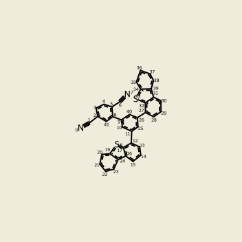 N#Cc1ccc(C#N)c(-c2cc(-c3cccc4c3sc3ccccc34)cc(-c3cccc4c3sc3ccccc34)c2)c1